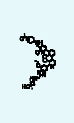 CCOc1cc(-c2nccc(-c3cccc(-c4ccc(CNC5CCN(C(C)=O)CC5)c(OC)n4)c3Cl)c2Cl)cn2nc(CN[C@H]3C[C@](C)(O)C3)nc12